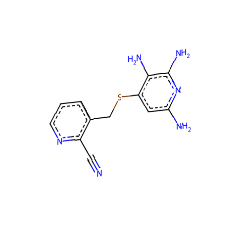 N#Cc1ncccc1CSc1cc(N)nc(N)c1N